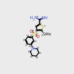 CSc1sc(C(=N)N)cc1S(=O)(=O)c1cccc(N2CCCCC2)c1